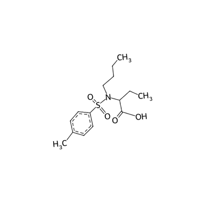 CCCCN(C(CC)C(=O)O)S(=O)(=O)c1ccc(C)cc1